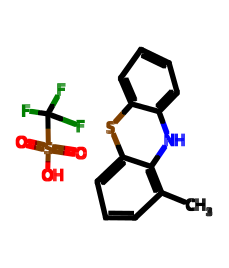 Cc1cccc2c1Nc1ccccc1S2.O=S(=O)(O)C(F)(F)F